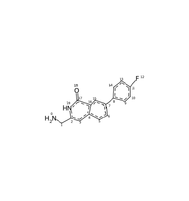 NCc1cc2ccc(-c3ccc(F)cc3)cc2c(=O)[nH]1